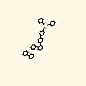 c1ccc(C2=NC(c3ccc4c(c3)sc3cc(-c5cccc6sc7c(-n8c9ccccc9c9ccccc98)cccc7c56)ccc34)NC(c3ccccc3)N2)cc1